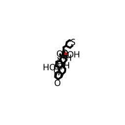 C[C@]12C=CC(=O)C=C1CC[C@@H]1[C@@H]2[C@@H](O)C[C@@]2(C)[C@H]1C[C@H]1OC(CC3CCSCC3)O[C@]12C(=O)CO